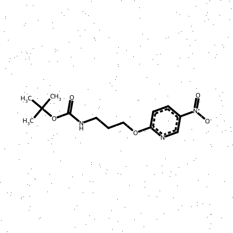 CC(C)(C)OC(=O)NCCCOc1ccc([N+](=O)[O-])cn1